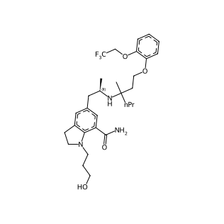 CCCC(C)(CCOc1ccccc1OCC(F)(F)F)N[C@H](C)Cc1cc2c(c(C(N)=O)c1)N(CCCO)CC2